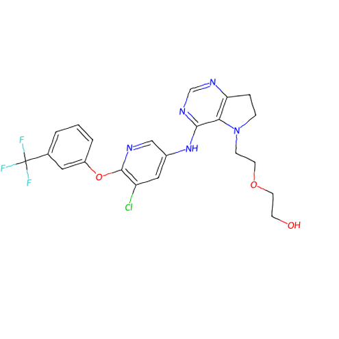 OCCOCCN1CCc2ncnc(Nc3cnc(Oc4cccc(C(F)(F)F)c4)c(Cl)c3)c21